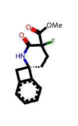 COC(=O)C1(F)CC[C@]2(Cc3ccccc32)NC1=O